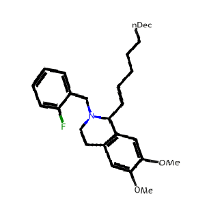 CCCCCCCCCCCCCCCC1c2cc(OC)c(OC)cc2CCN1Cc1ccccc1F